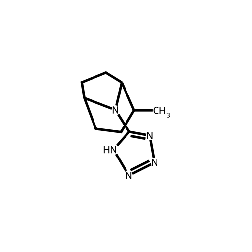 CC1CCC2CCC1N2c1nnn[nH]1